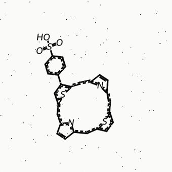 O=S(=O)(O)c1ccc(-c2cc3cc4nc(cc5ccc(cc6nc(cc2s3)C=C6)s5)C=C4)cc1